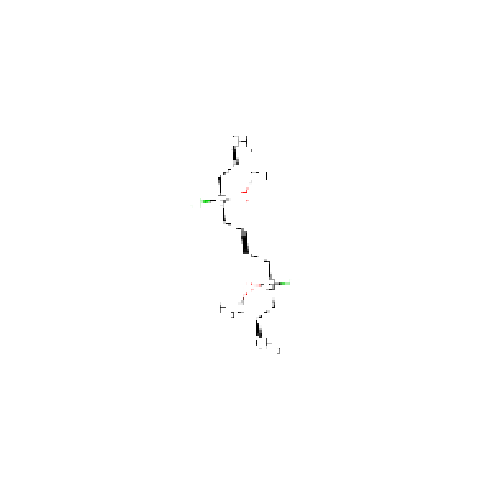 C=CC[Si](Cl)(C/C=C/C[Si](Cl)(CC=C)OC)OC